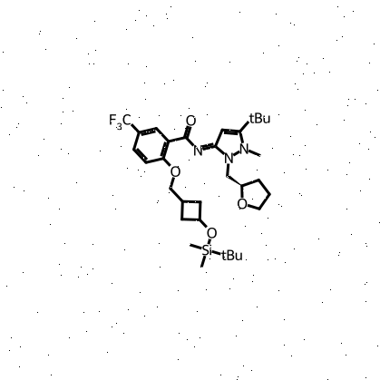 Cn1c(C(C)(C)C)cc(=NC(=O)c2cc(C(F)(F)F)ccc2OCC2CC(O[Si](C)(C)C(C)(C)C)C2)n1C[C@H]1CCCO1